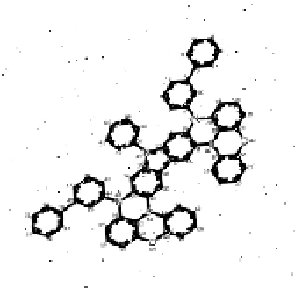 c1ccc(-c2cccc(N3c4cc5c(cc4B4c6ccccc6Oc6cccc3c64)c3cc4c(cc3n5-c3ccccc3)N(c3cccc(-c5ccccc5)c3)c3cccc5c3B4c3ccccc3O5)c2)cc1